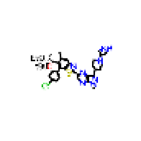 CCOC(=O)[C@@H](OC(C)(C)C)c1c(C)cc2nc(-c3cnc4c(n3)c(C3CCN(C5CNC5)CC3)nn4C)sc2c1-c1ccc(Cl)cc1